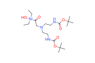 CC[N+](O)(CC)C(=O)CN(CCNC(=O)OC(C)(C)C)CCNC(=O)OC(C)(C)C